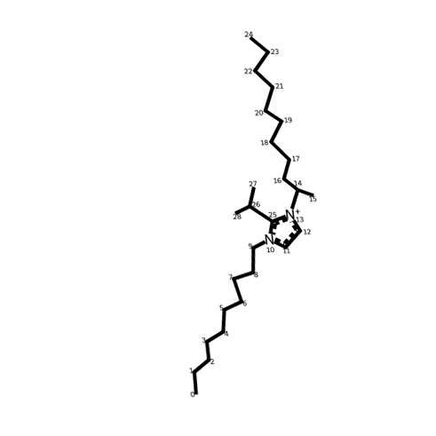 CCCCCCCCCCn1cc[n+](C(C)CCCCCCCCC)c1C(C)C